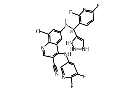 N#Cc1cnc2c(Cl)cc(N[C@H](C3=CNNN3)c3ccc(F)nc3F)cc2c1Nc1cnc(F)c(F)c1